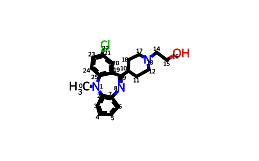 CN1c2ccccc2N=C(C2CCN(CCO)CC2)c2cc(Cl)ccc21